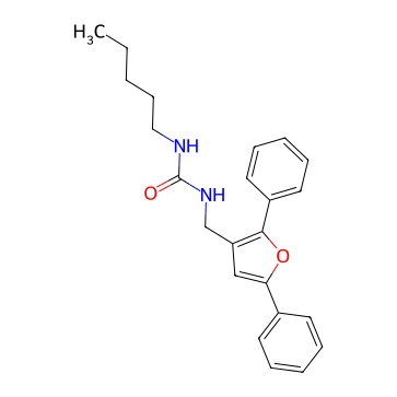 CCCCCNC(=O)NCc1cc(-c2ccccc2)oc1-c1ccccc1